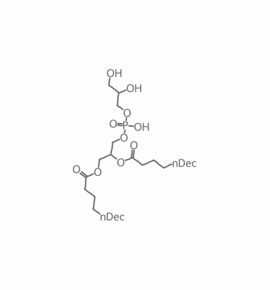 CCCCCCCCCCCCCC(=O)OCC(COP(=O)(O)OCC(O)CO)OC(=O)CCCCCCCCCCCCC